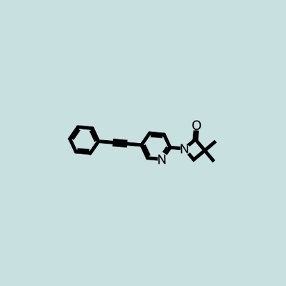 CC1(C)CN(c2ccc(C#Cc3ccccc3)cn2)C1=O